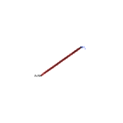 CC(=O)NCCCOCCOCCOCCOCCOCCOCCOCCOCCOCCOCCOCCOCCOCCOCCOCCOCCOCCOCCOCCOCCOCCOCCOCCOCCOCCOCCOCCOCCOCCOCCOCCCCCN